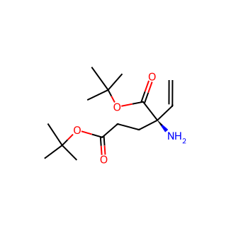 C=C[C@](N)(CCC(=O)OC(C)(C)C)C(=O)OC(C)(C)C